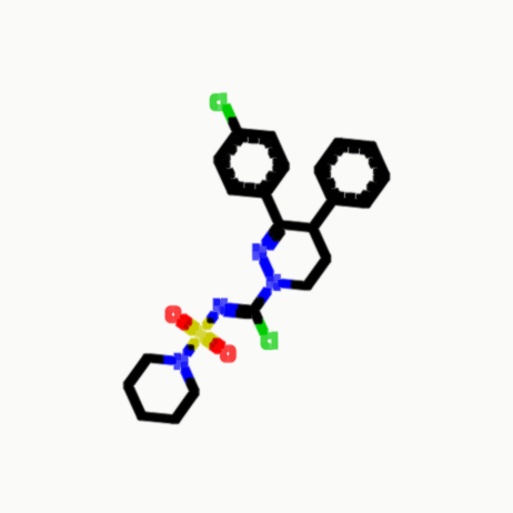 O=S(=O)(N=C(Cl)N1CCC(c2ccccc2)C(c2ccc(Cl)cc2)=N1)N1CCCCC1